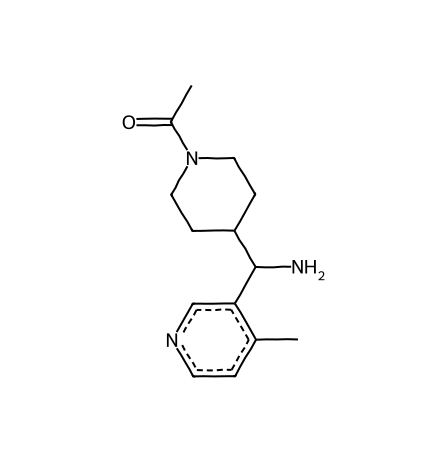 CC(=O)N1CCC(C(N)c2cnccc2C)CC1